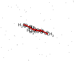 C=CC(=O)OCCCCOC(=O)O/C(=C/C=C(\C)C(=O)Oc1ccc(OC(=O)c2ccc(OC(=O)OCCCCOC(=O)C=C)cc2)cc1C)CC